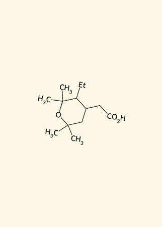 CCC1C(CC(=O)O)CC(C)(C)OC1(C)C